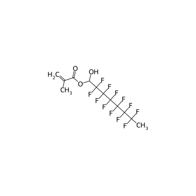 C=C(C)C(=O)OC(O)C(F)(F)C(F)(F)C(F)(F)C(F)(F)C(F)(F)C(C)(F)F